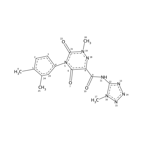 Cc1ccc(-n2c(=O)c(C(=O)Nc3nnnn3C)nn(C)c2=O)cc1C